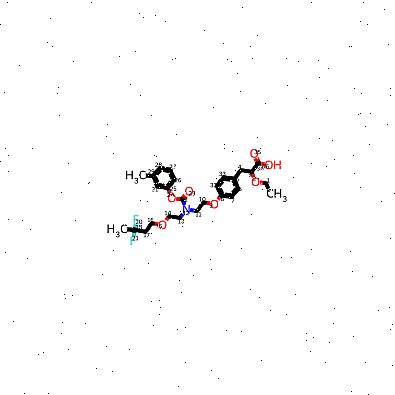 CCOC(Cc1ccc(OCCN(CCOCCC(C)(F)F)C(=O)Oc2cccc(C)c2)cc1)C(=O)O